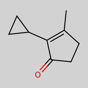 CC1=C(C2CC2)C(=O)CC1